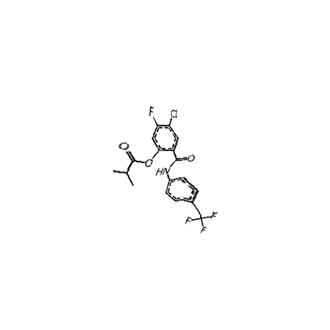 CC(C)C(=O)Oc1cc(F)c(Cl)cc1C(=O)Nc1ccc(C(F)(F)F)cc1